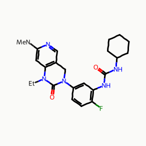 CCN1C(=O)N(c2ccc(F)c(NC(=O)NC3CCCCC3)c2)Cc2cnc(NC)cc21